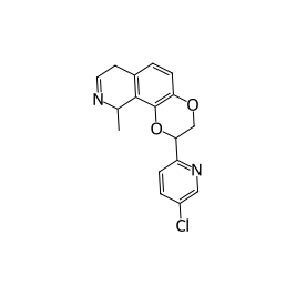 CC1N=CCc2ccc3c(c21)OC(c1ccc(Cl)cn1)CO3